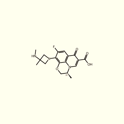 CNC1(C)CN(c2c(F)cc3c(=O)c(C(=O)O)cn4c3c2OC[C@@H]4C)C1